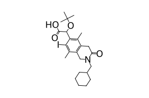 Cc1c(I)c(C(OC(C)(C)C)C(=O)O)c(C)c2c1CN(CC1CCCCC1)C(=O)C2